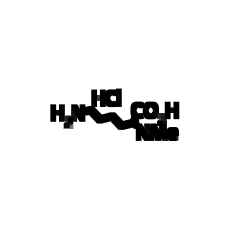 CN[C@@H](CCCCN)C(=O)O.Cl